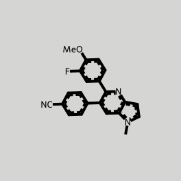 COc1ccc(-c2nc3ccn(C)c3cc2-c2ccc(C#N)cc2)cc1F